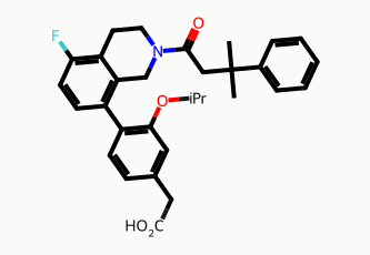 CC(C)Oc1cc(CC(=O)O)ccc1-c1ccc(F)c2c1CN(C(=O)CC(C)(C)c1ccccc1)CC2